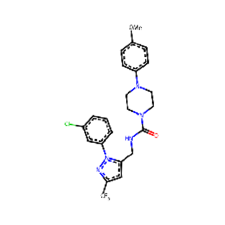 COc1ccc(N2CCN(C(=O)NCc3cc(C(F)(F)F)nn3-c3cccc(Cl)c3)CC2)cc1